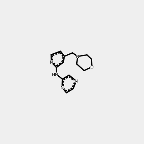 c1cnc(Nc2cc(CN3CCOCC3)ccn2)cn1